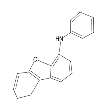 C1=Cc2oc3c(Nc4ccccc4)cccc3c2CC1